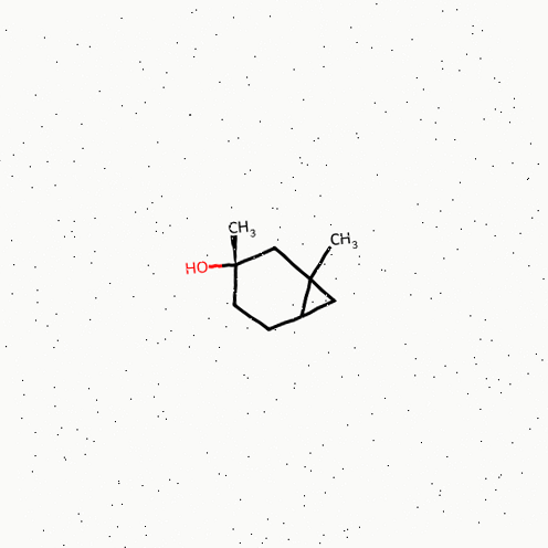 CC12CC1CC[C@](C)(O)C2